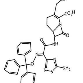 Nc1nc(/C(=N\OC(c2ccccc2)(c2ccccc2)c2ccccc2)C(=O)NC2C(=O)N3C(C(=O)O)=C(CO)CCC23)ns1